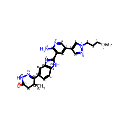 COCCCn1cc(-c2cnc(N)c(-c3nc4cc(C5=NNC(=O)CC5C)ccc4[nH]3)c2)cn1